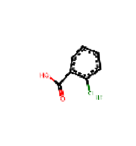 F.O=C(O)c1ccccc1Cl